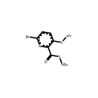 CCCCSC(=O)c1nc(Br)ccc1SCCC